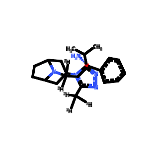 [2H]C([2H])([2H])c1nnc(C(C)C)n1C1CC2CCC(C1)N2C([2H])([2H])C[C@H](N)c1ccccc1